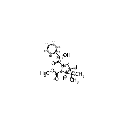 COC(=O)[C@@H]1[C@@H]2[C@H](CN1C(=O)[C@@H](O)c1ccccc1)C2(C)C